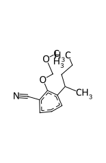 CCCC(C)c1cccc(C#N)c1OCOC